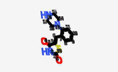 O=C1NC(=O)/C(=C/c2ccccc2N2CCNCC2)S1